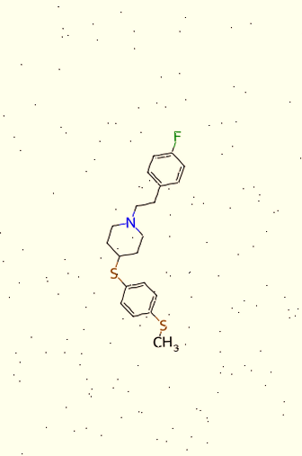 CSc1ccc(SC2CCN(CCc3ccc(F)cc3)CC2)cc1